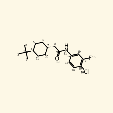 CC(C)(C)[C@H]1CC[C@H](CC(=O)Nc2ccc(Cl)c(F)c2)CC1